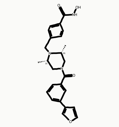 C[C@@H]1CN(C(=O)c2cccc(-c3ccoc3)c2)C[C@H](C)N1Cc1ccc(C(=O)NO)cc1